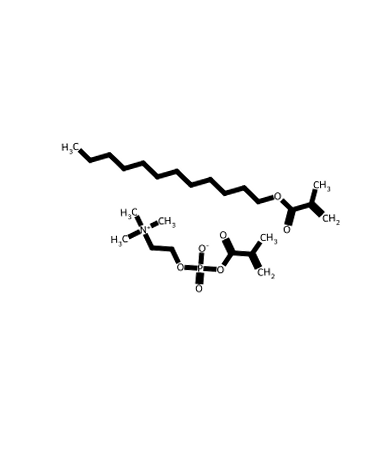 C=C(C)C(=O)OCCCCCCCCCCCC.C=C(C)C(=O)OP(=O)([O-])OCC[N+](C)(C)C